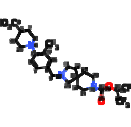 O=C(O)C1CCN(c2ccc(CN3CCC4(CCN(C(=O)OC(C(F)(F)F)C(F)(F)F)CC4)C3)cc2C(F)(F)F)CC1